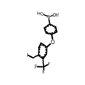 OB(O)c1ccc(Oc2ccc(CI)c(C(F)(F)F)c2)cc1